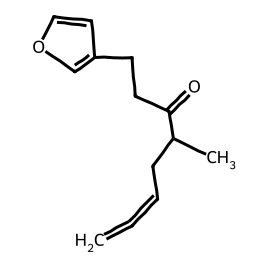 C=C=CCC(C)C(=O)CCc1ccoc1